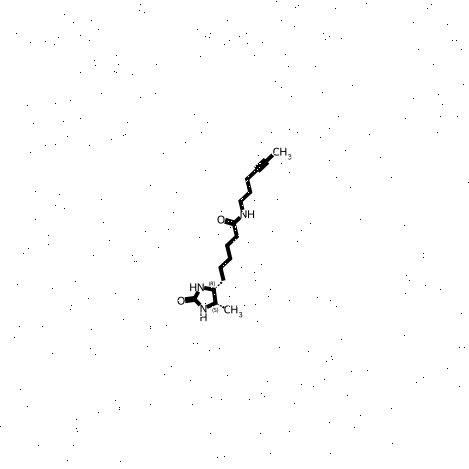 CC#CCCCNC(=O)CCCCC[C@H]1NC(=O)N[C@H]1C